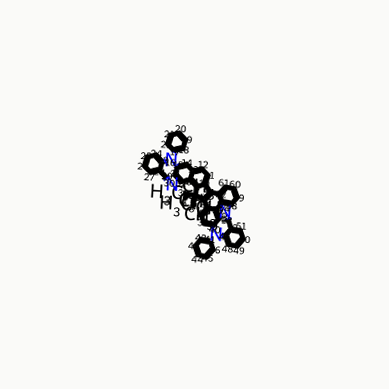 CC(C)(C)C1(C(C)(C)C)c2c(ccc3cc(N(c4ccccc4)c4ccccc4C#N)ccc23)-c2c1c1ccc(N(c3ccccc3)c3ccccc3C#N)cc1c1ccccc21